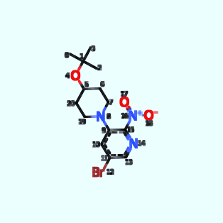 CC(C)(C)OC1CCN(c2cc(Br)cnc2[N+](=O)[O-])CC1